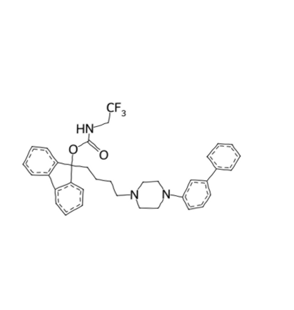 O=C(NCC(F)(F)F)OC1(CCCCN2CCN(c3cccc(-c4ccccc4)c3)CC2)c2ccccc2-c2ccccc21